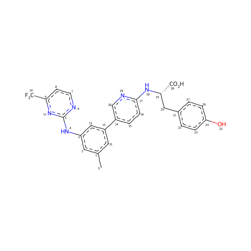 Cc1cc(Nc2nccc(C(F)(F)F)n2)cc(-c2ccc(N[C@@H](Cc3ccc(O)cc3)C(=O)O)nc2)c1